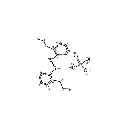 CCCc1ncccc1SSc1cccnc1CCC.O=P(O)(O)O